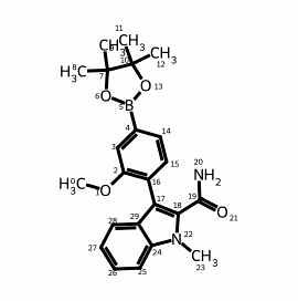 COc1cc(B2OC(C)(C)C(C)(C)O2)ccc1-c1c(C(N)=O)n(C)c2ccccc12